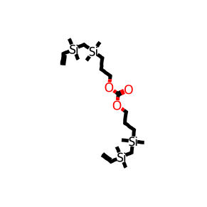 C=C[Si](C)(C)C[Si](C)(C)CCCOC(=O)OCCC[Si](C)(C)C[Si](C)(C)C=C